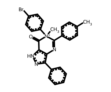 Cc1ccc(C2=Nc3c(-c4ccccc4)n[nH]c3C(=O)[N+]2(C)c2ccc(Br)cc2)cc1